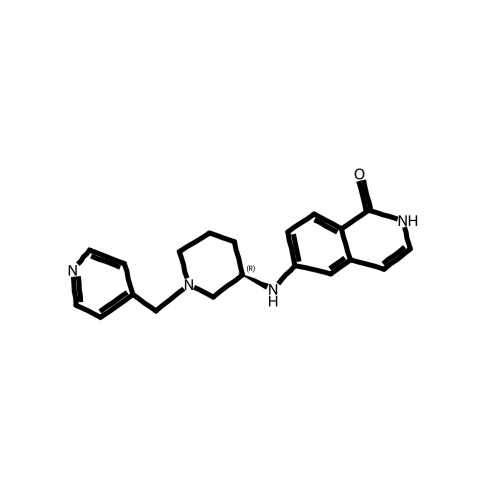 O=c1[nH]ccc2cc(N[C@@H]3CCCN(Cc4ccncc4)C3)ccc12